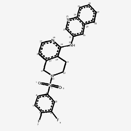 O=S(=O)(c1ccc(F)c(F)c1)N1CCc2c(ccnc2Nc2cnc3ccccc3c2)C1